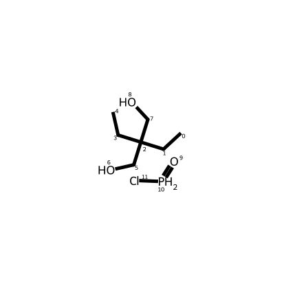 CCC(CC)(CO)CO.O=[PH2]Cl